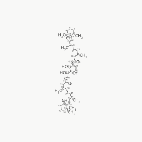 CC(C=CC1=C(C)CCCC1(C)C)=CC=CC(C)=CC(=O)N[C@@H](C=O)[C@@H](O)[C@H](O)[C@H](O)COC(=O)C=C(C)C=CC=C(C)C=CC1=C(C)CCCC1(C)C